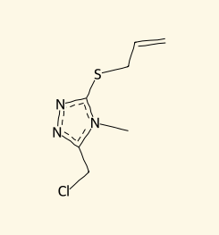 C=CCSc1nnc(CCl)n1C